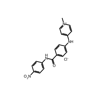 C[n+]1ccc(Nc2ccc(C(=O)Nc3ccc([N+](=O)[O-])cc3)cc2)cc1.[Cl-]